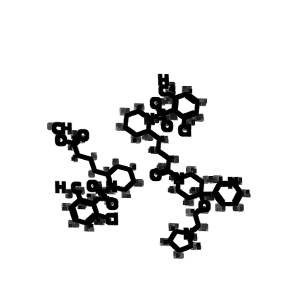 COC(=O)CCCC1CCCCN1S(=O)(=O)c1c(C)cccc1Cl.Cc1cccc(Cl)c1S(=O)(=O)N1CCCCC1CCCC(=O)N1CCC(OCCN2CCCC2)(c2cccnc2)CC1